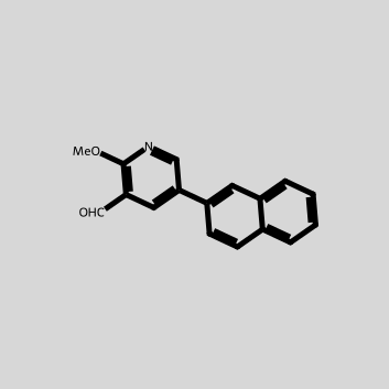 COc1ncc(-c2ccc3ccccc3c2)cc1C=O